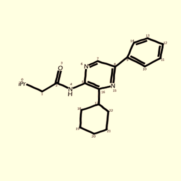 CC(C)CC(=O)Nc1ncc(-c2ccccc2)nc1C1CCCCC1